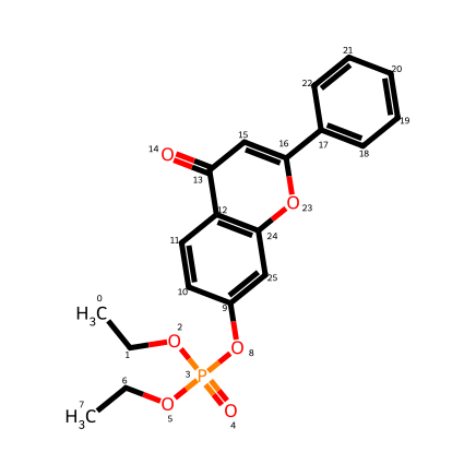 CCOP(=O)(OCC)Oc1ccc2c(=O)cc(-c3ccccc3)oc2c1